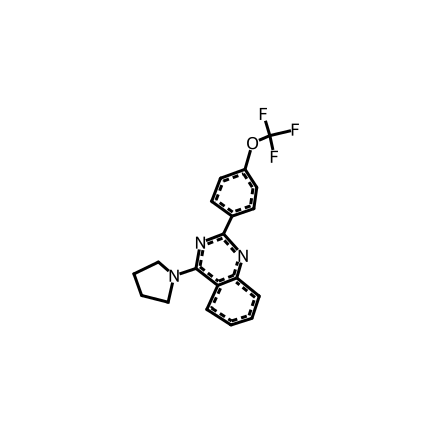 FC(F)(F)Oc1ccc(-c2nc(N3CCCC3)c3ccccc3n2)cc1